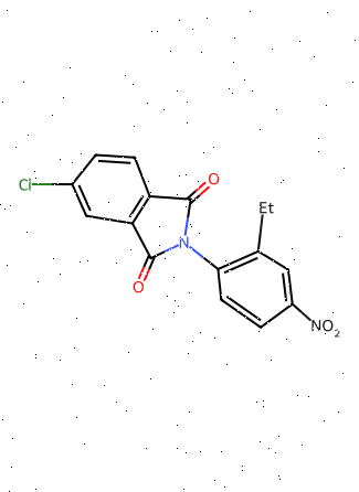 CCc1cc([N+](=O)[O-])ccc1N1C(=O)c2ccc(Cl)cc2C1=O